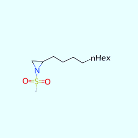 CCCCCCCCCCC1CN1S(C)(=O)=O